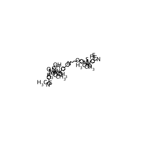 Cc1ncsc1-c1ccc(CNC(=O)[C@@H]2C[C@@H](O)CN2C(=O)C(NC(=O)c2ccc(C3CCN(CCCCOc4ccc(N5C(=S)N(c6ccc(C#N)c(C(F)(F)F)c6)C(=O)C5(C)C)cc4)CC3)cc2)C(C)(C)C)cc1